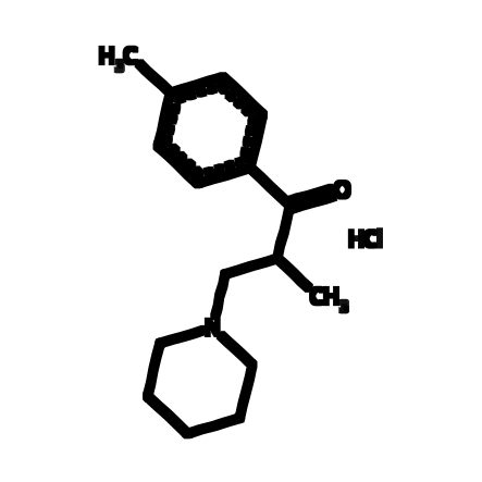 Cc1ccc(C(=O)C(C)CN2CCCCC2)cc1.Cl